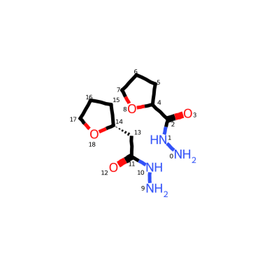 NNC(=O)C1CCCO1.NNC(=O)C[C@H]1CCCO1